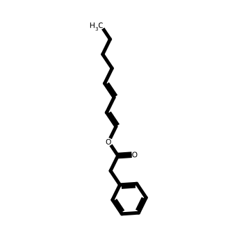 CCCCC=CC=COC(=O)Cc1ccccc1